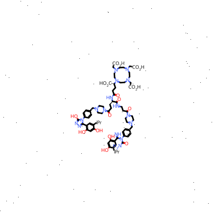 CC(C)c1cc(C(=N)N(C(N)=O)c2ccc(CN3CCN(C(=O)CCNC(=O)[C@@H](CCC(=O)N4CCN(Cc5ccc(-n6c(O)nnc6-c6cc(C(C)C)c(O)cc6O)cc5)CC4)NC(=O)CC[C@H](C(=O)O)N4CCN(CC(=O)O)CCN(CC(=O)O)CCN(CC(=O)O)CC4)CC3)cc2)c(O)cc1O